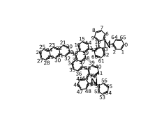 c1ccc(-n2c3ccccc3c3c(-c4cccc5c(-c6ccc7cc8ccccc8cc7c6)c6cccc(-c7cccc8c7c7ccccc7n8-c7ccccc7)c6cc45)cccc32)cc1